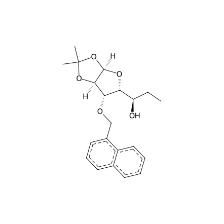 CC[C@@H](O)[C@H]1O[C@@H]2OC(C)(C)O[C@@H]2[C@H]1OCc1cccc2ccccc12